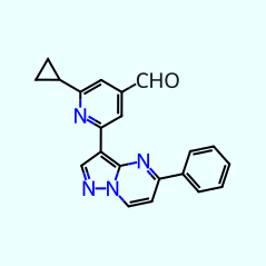 O=Cc1cc(-c2cnn3ccc(-c4ccccc4)nc23)nc(C2CC2)c1